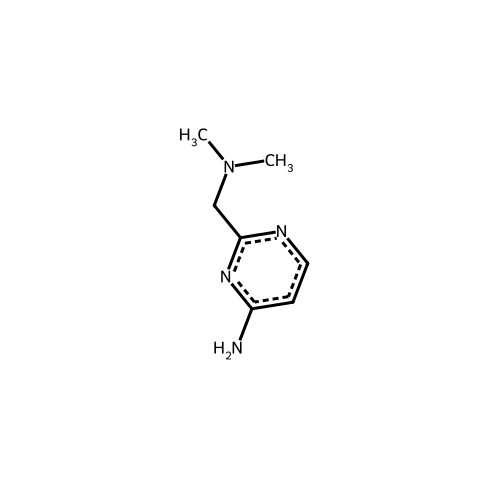 CN(C)Cc1nccc(N)n1